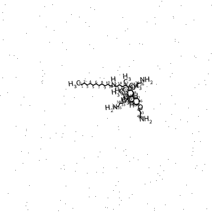 CCCCCCCCCCCCNCCC[C@@H](C)[C@@H](C)[C@@]1(C)[C@@H](OCCCN)C[C@H]2[C@@H]([C@H](OCCCN)C[C@@H]3C[C@H](OCCCN)CC[C@@]32C)[C@@H]1CC